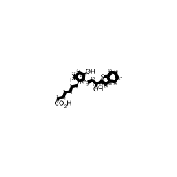 O=C(O)CCCCCC[C@@H]1[C@@H](C=CC(O)c2cc3ccccc3s2)[C@H](O)CC1(F)F